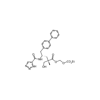 CCOC(=O)OCOC(=O)[C@](C)(CO)C[C@@H](Cc1ccc(-c2ccccc2)cc1)NC(=O)c1cnn[nH]1